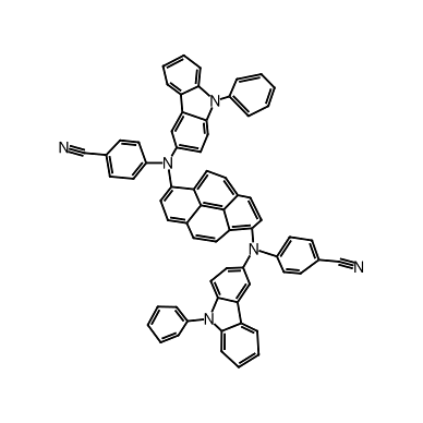 N#Cc1ccc(N(c2ccc3c(c2)c2ccccc2n3-c2ccccc2)c2ccc3ccc4c(N(c5ccc(C#N)cc5)c5ccc6c(c5)c5ccccc5n6-c5ccccc5)ccc5ccc2c3c54)cc1